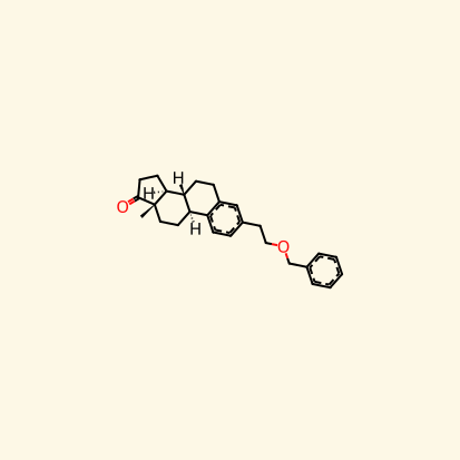 C[C@]12CC[C@@H]3c4ccc(CCOCc5ccccc5)cc4CC[C@H]3[C@@H]1CCC2=O